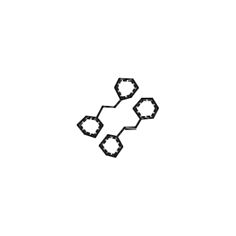 C(=Cc1ccccc1)c1ccccc1.c1ccc(CCc2ccccc2)cc1